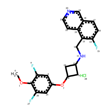 COc1c(F)cc(OC2CC(NCc3c(F)ccc4cnccc34)C2)cc1F.Cl